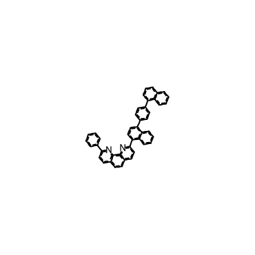 c1ccc(-c2ccc3ccc4ccc(-c5ccc(-c6ccc(-c7cccc8ccccc78)cc6)c6ccccc56)nc4c3n2)cc1